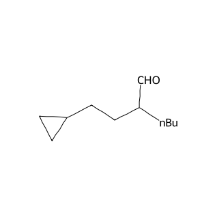 CCCCC(C=O)CCC1CC1